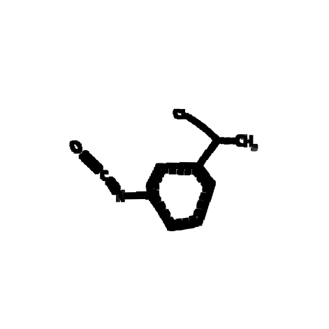 CC(Cl)c1cccc(N=C=O)c1